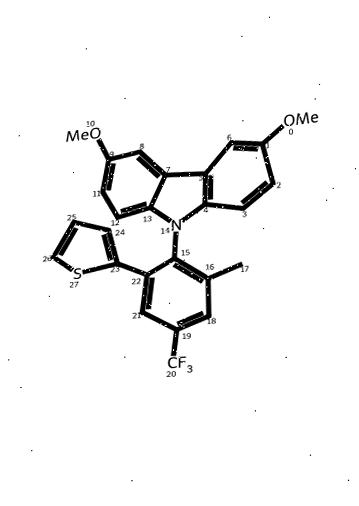 COc1ccc2c(c1)c1cc(OC)ccc1n2-c1c(C)cc(C(F)(F)F)cc1-c1cccs1